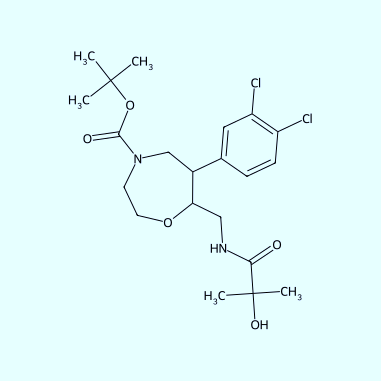 CC(C)(C)OC(=O)N1CCOC(CNC(=O)C(C)(C)O)C(c2ccc(Cl)c(Cl)c2)C1